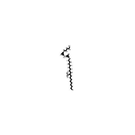 CCCCCCCCCC(CCCCCCCCC[C@H]1C[C@H]1C[C@H]1C[C@H]1CCCCC)N(C)C